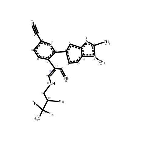 Cc1nc2cc(-c3nc(C#N)ccc3/C(C=N)=C/NCC(F)C(C)(F)F)ccc2n1C